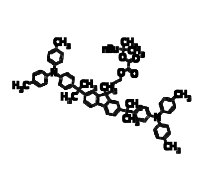 CCCCC(C)(C)OC(=O)C(=O)OCCCC1(C)c2cc(C(C)(C)c3ccc(N(c4ccc(C)cc4)c4ccc(C)cc4)cc3)ccc2-c2ccc(C(C)(C)c3ccc(N(c4ccc(C)cc4)c4ccc(C)cc4)cc3)cc21